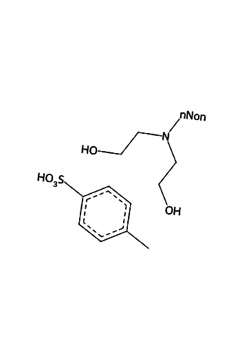 CCCCCCCCCN(CCO)CCO.Cc1ccc(S(=O)(=O)O)cc1